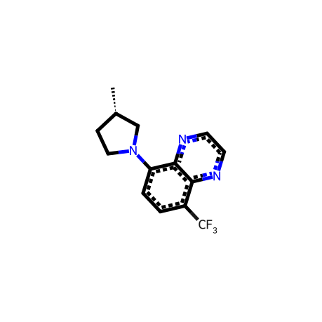 C[C@H]1CCN(c2ccc(C(F)(F)F)c3nccnc23)C1